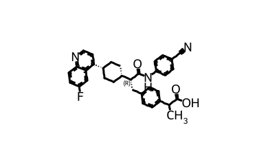 CC(C(=O)O)c1ccc(C[C@@H](C(=O)Nc2ccc(C#N)cc2)[C@H]2CC[C@@H](c3ccnc4ccc(F)cc43)CC2)cc1